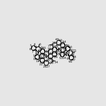 CC(C)c1ccccc1-n1c2ccccc2c2c(N(c3cccc4c3CCCC4)c3cc(C(C)C)c4ccc5c(N(c6cccc7c6CCCC7)c6cccc7c6c6ccccc6n7-c6ccccc6C(C)C)cc(C(C)C)c6ccc3c4c65)cccc21